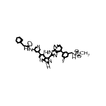 CS(=O)(=O)NCc1cc(F)cc(-c2ccnc3[nH]c(-c4n[nH]c5ncc(-c6cncc(NC(=O)Cc7ccccc7)c6)c(F)c45)nc23)c1